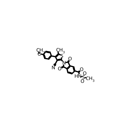 COc1ccc(-c2c(C)sc(N3C(=O)c4ccc(C(=O)NS(C)(=O)=O)cc4C3=O)c2C#N)cc1